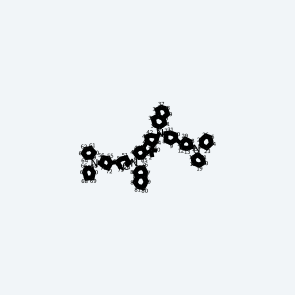 CC1(C)c2cc(N(c3ccc(-c4ccc(N(c5ccccc5)c5ccccc5)cc4)cc3)c3ccc4ccccc4c3)ccc2-c2ccc(N(c3ccc(-c4ccc(N(c5ccccc5)c5ccccc5)cc4)cc3)c3ccc4ccccc4c3)cc21